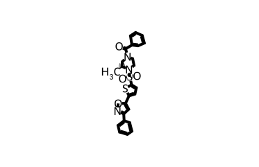 C[C@@H]1CN(C(=O)c2ccccc2)CCN1S(=O)(=O)c1ccc(-c2cc(-c3ccccc3)no2)s1